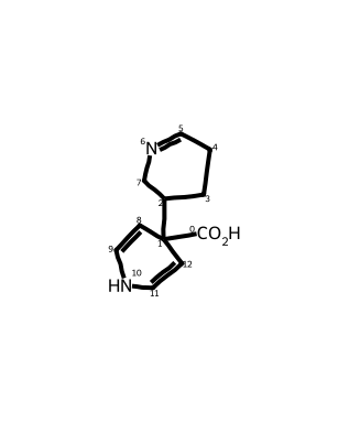 O=C(O)C1(C2CCC=NC2)C=CNC=C1